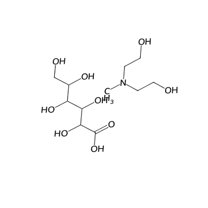 CN(CCO)CCO.O=C(O)C(O)C(O)C(O)C(O)CO